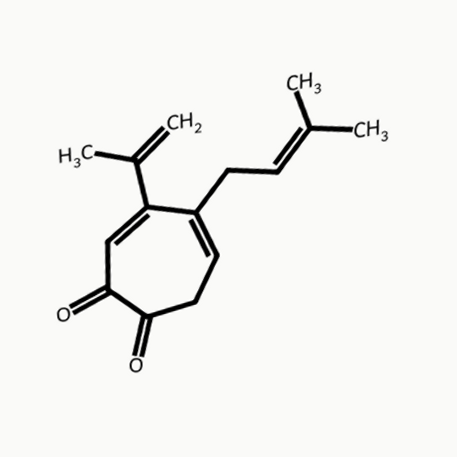 C=C(C)C1=CC(=O)C(=O)CC=C1CC=C(C)C